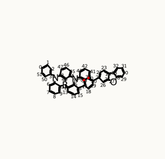 c1ccc(N2c3ccccc3B3c4cccc(-c5ccc(-c6ccc7c(c6)oc6ccccc67)cc5)c4N(c4ccccc4)c4cccc2c43)cc1